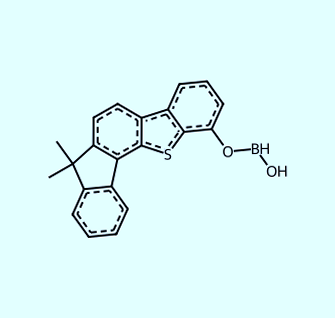 CC1(C)c2ccccc2-c2c1ccc1c2sc2c(OBO)cccc21